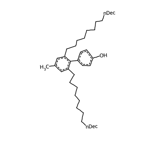 CCCCCCCCCCCCCCCCCCc1cc(C)cc(CCCCCCCCCCCCCCCCCC)c1-c1ccc(O)cc1